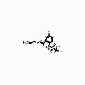 C=CCO/N=C(\C)c1cc(Cl)ccc1NS(=O)(=O)C(F)(F)F